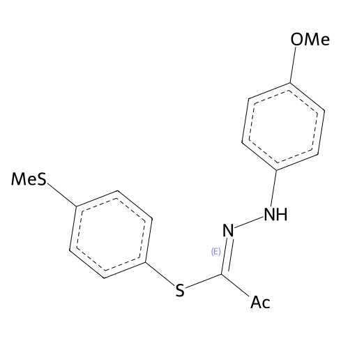 COc1ccc(N/N=C(/Sc2ccc(SC)cc2)C(C)=O)cc1